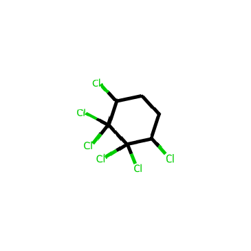 Cl[C]1CCC(Cl)C(Cl)(Cl)C1(Cl)Cl